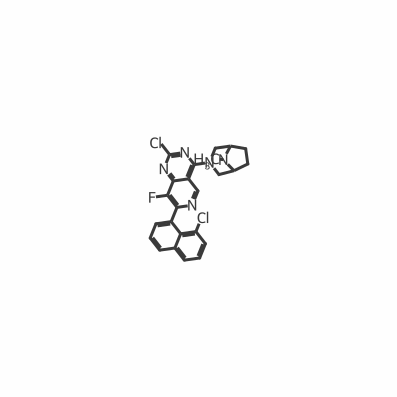 CN1C2CCC1CN(c1nc(Cl)nc3c(F)c(-c4cccc5cccc(Cl)c45)ncc13)C2